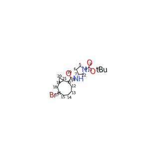 CC(C)(C)OC(=O)N1CC[C@@H](NC(=O)C2CCCCC(Br)CC3CC32)C1